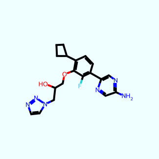 Nc1cnc(-c2ccc(C3CCC3)c(OCC(O)Cn3ccnn3)c2F)cn1